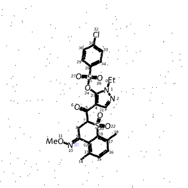 CCn1ncc(C(=O)C2C/C(=N\OC)c3c(C)ccc(C)c3S2(=O)=O)c1OS(=O)(=O)c1ccc(Cl)cc1